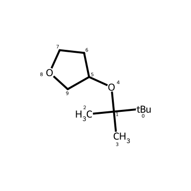 CC(C)(C)C(C)(C)OC1CCOC1